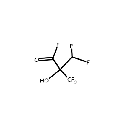 O=C(F)C(O)(C(F)F)C(F)(F)F